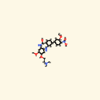 COc1cc2c(cc1OCCN(C)C)Nc1cc(-c3ccc([N+](=O)[O-])c(OC)c3)ccc1C(=O)N2